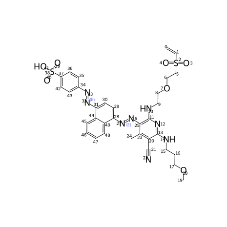 C=CS(=O)(=O)CCOCCNc1nc(NCCCOC)c(C#N)c(C)c1/N=N/c1ccc(/N=N/c2ccc(S(=O)(=O)O)cc2)c2ccccc12